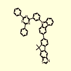 CC1(C)c2cc(-c3ccc4c(c3)c3ccccc3n4-c3cccc(-c4nc(-c5ccccc5)nc(-c5ccccc5)n4)c3)ccc2-c2cc3ncsc3cc21